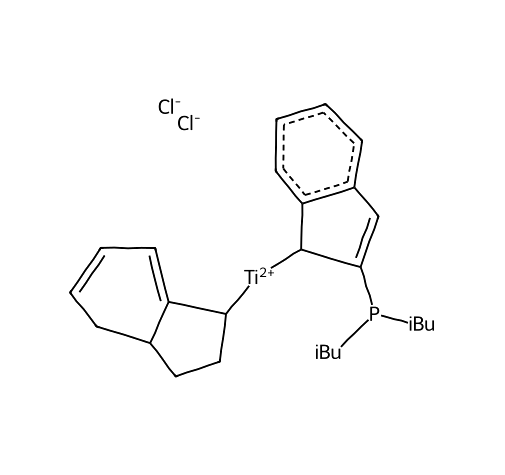 CCC(C)P(C1=Cc2ccccc2[CH]1[Ti+2][CH]1CCC2CC=CC=C21)C(C)CC.[Cl-].[Cl-]